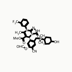 COC(=O)C1=C(C)N(c2cccc(C(F)(F)F)c2)c2n[nH]c(=O)n2[C@@H]1c1ccc(C#N)cc1C[N+](C)(C)C1CCC(O)CC1.O=C[O-]